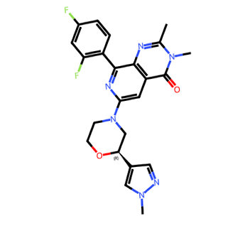 Cc1nc2c(-c3ccc(F)cc3F)nc(N3CCO[C@H](c4cnn(C)c4)C3)cc2c(=O)n1C